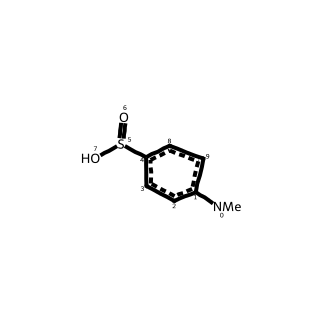 CNc1ccc(S(=O)O)cc1